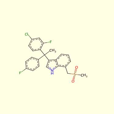 CC(c1ccc(F)cc1)(c1ccc(Cl)cc1F)c1c[nH]c2c(CS(C)(=O)=O)cccc12